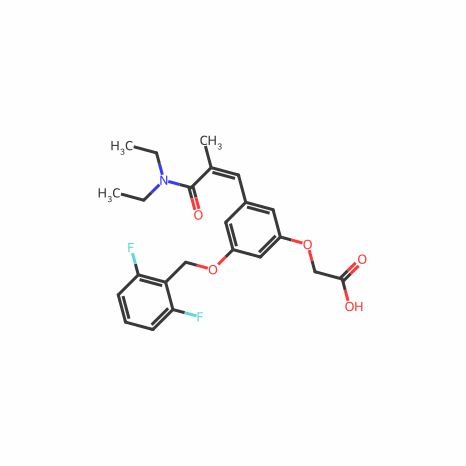 CCN(CC)C(=O)/C(C)=C\c1cc(OCC(=O)O)cc(OCc2c(F)cccc2F)c1